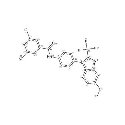 COc1ccc2c(c1)nc(C(F)(F)F)n2-c1ccc(NC(=O)c2cc(Cl)cc(Cl)c2)cc1